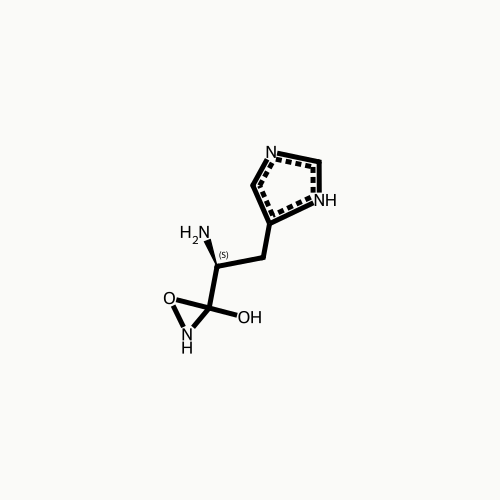 N[C@@H](Cc1cnc[nH]1)C1(O)NO1